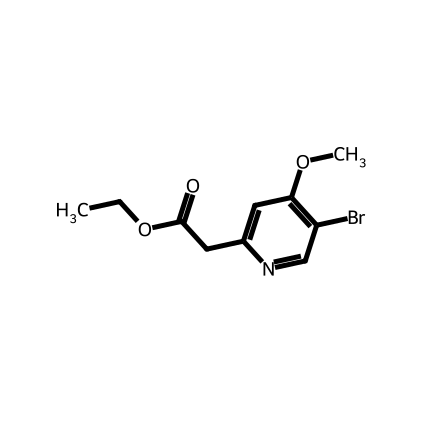 CCOC(=O)Cc1cc(OC)c(Br)cn1